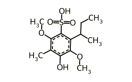 CCC(C)c1c(OC)c(O)c(C)c(OC)c1S(=O)(=O)O